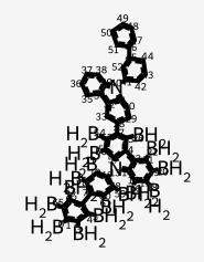 Bc1c(B)c(B)c(-c2c(B)c(B)c(-n3c4c(B)c(B)c(B)c(B)c4c4c(B)c(-c5ccc6c(c5)c5ccccc5n6-c5cccc(-c6ccccc6)c5)c(B)c(B)c43)c(B)c2B)c(B)c1B